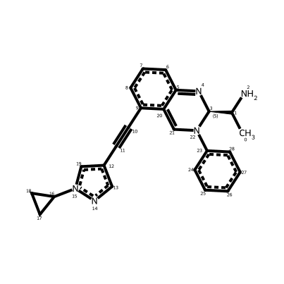 CC(N)[C@@H]1N=c2cccc(C#Cc3cnn(C4CC4)c3)c2=CN1c1ccccc1